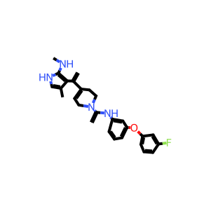 C=C(C1=CCN(C(=C)Nc2cccc(Oc3cccc(F)c3)c2)CC1)c1c(C)c[nH]c1NC